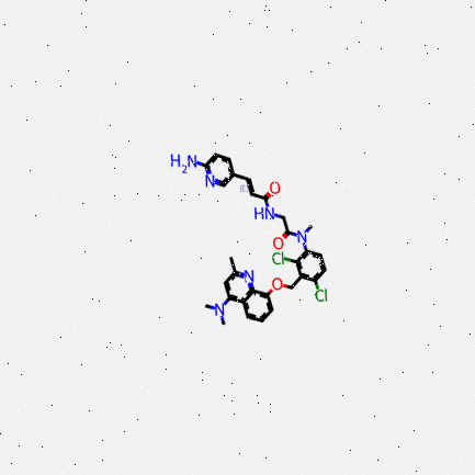 Cc1cc(N(C)C)c2cccc(OCc3c(Cl)ccc(N(C)C(=O)CNC(=O)/C=C/c4ccc(N)nc4)c3Cl)c2n1